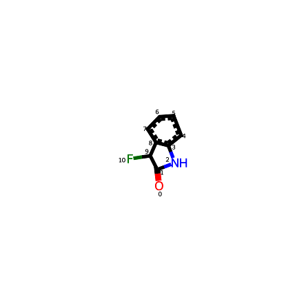 O=C1Nc2ccccc2C1F